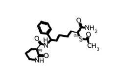 CC(=O)S[C@@H](CCCCC(NC(=O)[C@@H]1CCCNC1=O)c1ccccc1)C(N)=O